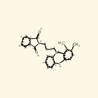 Cc1ccc2c(c1C)N(CCCN1C(=O)c3ccccc3C1=O)c1ccccc1S2